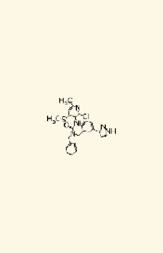 CSc1cc(C)nc(Cl)c1NC(=O)N(Cc1ccccc1)Cc1cccc(-c2cc[nH]n2)c1